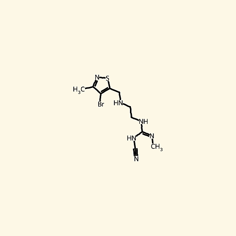 C/N=C(\NC#N)NCCNCc1snc(C)c1Br